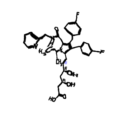 CC(C)n1c(/C=C/[C@@H](O)C[C@@H](O)CC(=O)O)c(-c2ccc(F)cc2)c(-c2ccc(F)cc2)c1C(=O)NCc1ccccn1